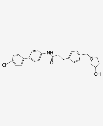 O=C(CCc1ccc(CN2CCC(O)C2)cc1)Nc1ccc(-c2ccc(Cl)cc2)cc1